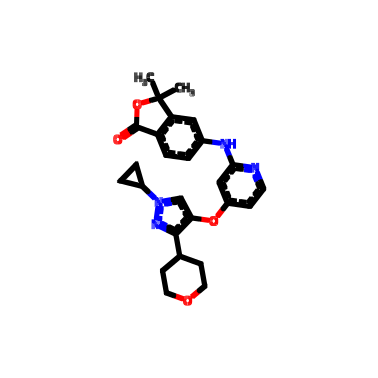 CC1(C)OC(=O)c2ccc(Nc3cc(Oc4cn(C5CC5)nc4C4CCOCC4)ccn3)cc21